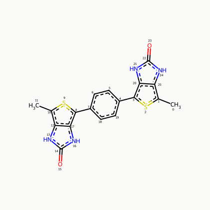 Cc1sc(-c2ccc(-c3sc(C)c4[nH]c(=O)[nH]c34)cc2)c2[nH]c(=O)[nH]c12